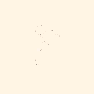 CC(C)C[C@@H]1CCCN1C(=O)/C=C/CN(C)C